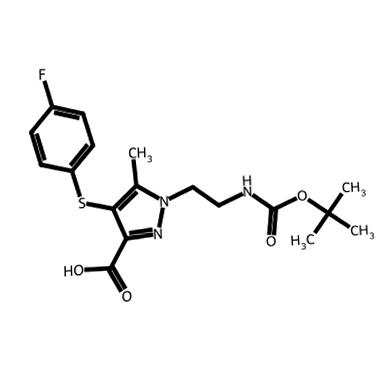 Cc1c(Sc2ccc(F)cc2)c(C(=O)O)nn1CCNC(=O)OC(C)(C)C